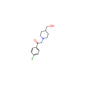 O=C(CN1CCC(CO)CC1)c1ccc(F)cc1